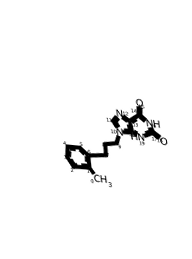 Cc1ccccc1CCCn1cnc2c(=O)[nH]c(=O)[nH]c21